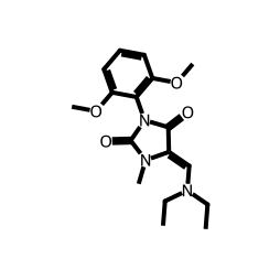 CCN(C=C1C(=O)N(c2c(OC)cccc2OC)C(=O)N1C)CC